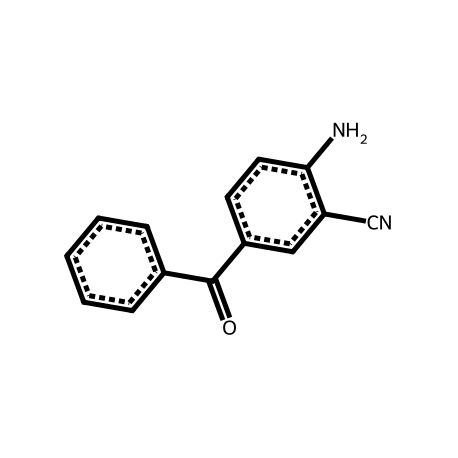 N#Cc1cc(C(=O)c2ccccc2)ccc1N